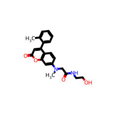 Cc1ccccc1-c1cc(=O)oc2cc(N(C)CC(=O)NCCO)ccc12